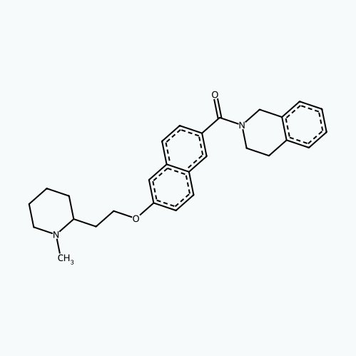 CN1CCCCC1CCOc1ccc2cc(C(=O)N3CCc4ccccc4C3)ccc2c1